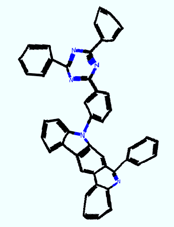 c1ccc(-c2nc(-c3ccccc3)nc(-c3cccc(-n4c5ccccc5c5cc6c(cc54)c(-c4ccccc4)nc4ccccc46)c3)n2)cc1